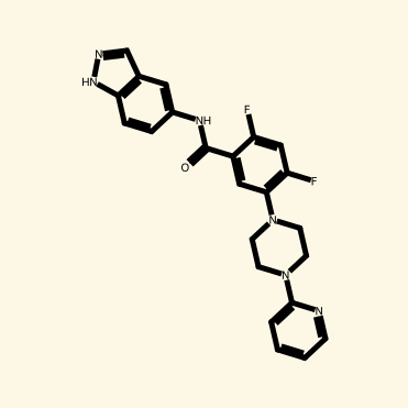 O=C(Nc1ccc2[nH]ncc2c1)c1cc(N2CCN(c3ccccn3)CC2)c(F)cc1F